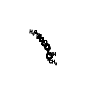 C[C@H]1CCC(c2ccc3c(c2)CC2(CC4(CN(C)C4)C2)O3)NC1